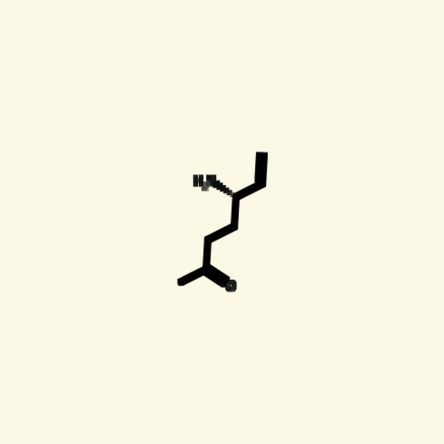 C=C[C@@H](N)CCC(C)=O